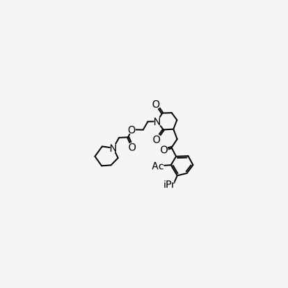 CC(=O)c1c(C(=O)CC2CCC(=O)N(CCOC(=O)CN3CCCCC3)C2=O)cccc1C(C)C